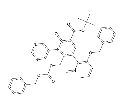 C=N/C(=C(\C=C/C)OCc1ccccc1)c1cc(C(=O)OC(C)(C)C)c(=O)n(-c2cncnc2)c1COC(=O)OCc1ccccc1